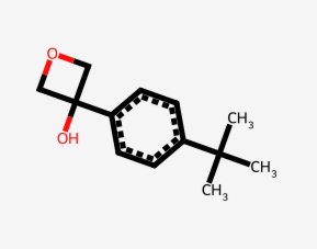 CC(C)(C)c1ccc(C2(O)COC2)cc1